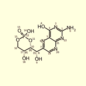 Nc1nc(O)c2nc([C@H](O)[C@H]3OP(=O)(O)OC[C@H]3O)cnc2n1